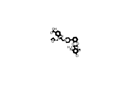 CC1(c2ccc(Cl)cc2F)Oc2c(cccc2C2CCN(Cc3nc4ccc(C(=O)O)cc4n3C[C@@H]3CCO3)CC2)OC1=C=O